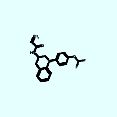 C=CC(=O)NC1Cc2ccccc2N(c2ccc(OC(F)F)cc2)C1